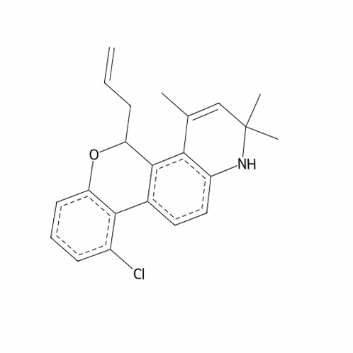 C=CCC1Oc2cccc(Cl)c2-c2ccc3c(c21)C(C)=CC(C)(C)N3